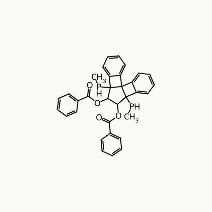 CPC12c3ccccc3C13c1ccccc1C3(PC)C(OC(=O)c1ccccc1)C2OC(=O)c1ccccc1